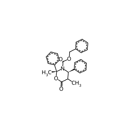 CC1C(=O)O[C@](C)(c2ccccc2)N(C(=O)OCc2ccccc2)[C@H]1c1ccccc1